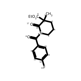 CCOC(=O)C1(C)CCCN(C(=O)c2ccc(F)cc2)C1=O